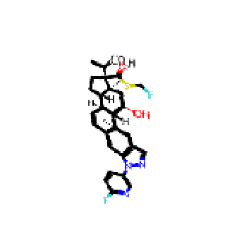 CC(C(=O)O)[C@]1(C(=O)SCF)CC[C@H]2[C@@H]3C=CC4=Cc5c(cnn5-c5ccc(F)nc5)C[C@]4(C)[C@H]3[C@@H](O)C[C@@]21C